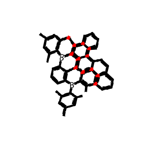 Cc1cc(C)c(B(c2cccc(B(c3c(C)cc(C)cc3C)c3c(C)cc(C)cc3C)c2-c2nc3c4ccccc4ccc3c3c2ccc2ccccc23)c2c(C)cc(C)cc2C)c(C)c1